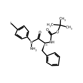 CC(C)(C)OC(=O)N[C@@H](Cc1ccccc1)C(=O)N(N)c1ccc(I)cc1